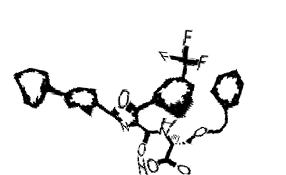 O=C(N[C@H](COCc1ccccc1)C(=O)O)c1nc(-c2ccc(-c3ccccc3)cc2)oc1-c1cccc(C(F)(F)F)c1